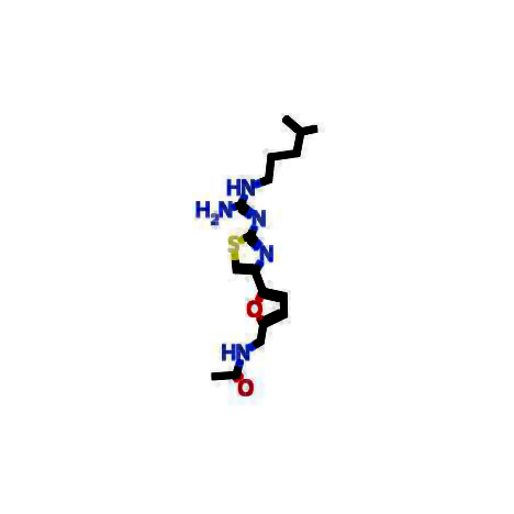 CC(=O)NCc1ccc(-c2csc(/N=C(\N)NCCCC(C)C)n2)o1